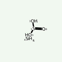 O=S(O)O.[SiH4]